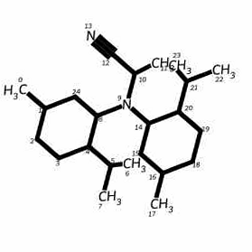 CC1CCC(C(C)C)C(N(C(C)C#N)C2CC(C)CCC2C(C)C)C1